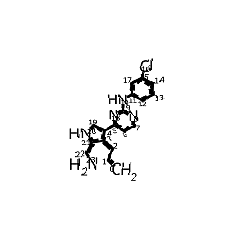 C=C/C=c1/c(-c2ccnc(Nc3cccc(Cl)c3)n2)c[nH]/c1=C/N